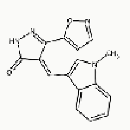 Cn1cc(C=C2C(=O)NN=C2c2ccno2)c2ccccc21